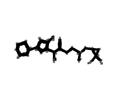 CCN(C(=O)CC[S+]([O-])CC1CC1(F)F)c1cn(-c2cccnc2)nc1Cl